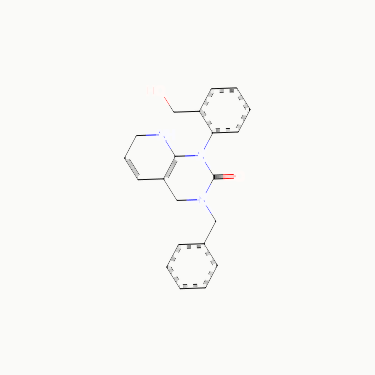 O=C1N(Cc2ccccc2)CC2=C(NCC=C2)N1c1ccccc1CO